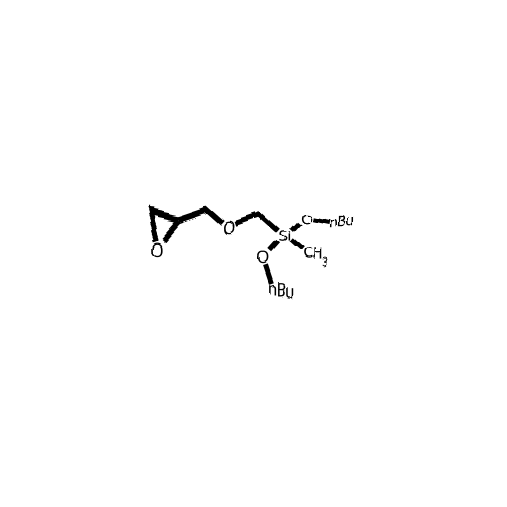 CCCCO[Si](C)(COCC1CO1)OCCCC